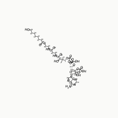 CC(C)(COP(=O)(O)OP(=O)(O)OC[C@H]1O[C@H](n2cnc3c(N)ncnc32)[C@H](O)[C@@H]1OP(=O)(O)O)[C@@H](O)C(=O)NCCC(=O)NCCSC(=O)CCCCCCCO